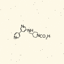 O=C(O)N1CCC(CNc2cncc(-c3ccncc3)c2)CC1